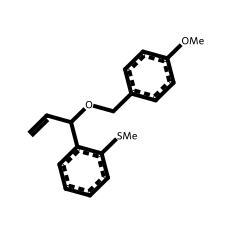 C=CC(OCc1ccc(OC)cc1)c1ccccc1SC